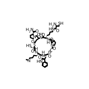 CN(C)CCCC[C@@H]1NC(=O)[C@H](CS)SC(=O)CC(C(=O)N2CCC[C@H]2C(N)=O)NC(=O)[C@H](CCCCNC(=O)[C@@H](N)CS)NC(=O)[C@@H]2CCCN2C(=O)COC(=O)[C@H](Cc2c[nH]c3ccccc23)NC1=O